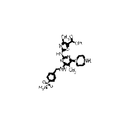 Cc1nc(Nc2nc(NCc3ccc(S(N)(=O)=O)cc3)c(C)c(N3CCNCC3)n2)sc1C(=O)O